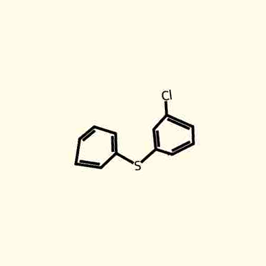 Clc1cc[c]c(Sc2ccccc2)c1